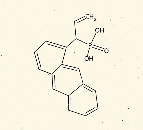 C=CC(c1cccc2cc3ccccc3cc12)P(=O)(O)O